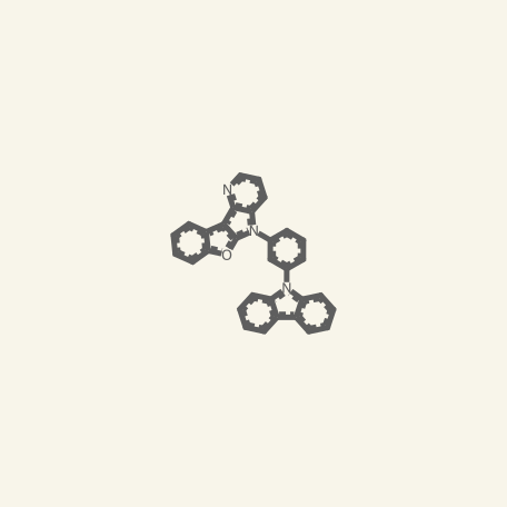 c1cc(-n2c3ccccc3c3ccccc32)cc(-n2c3cccnc3c3c4ccccc4oc32)c1